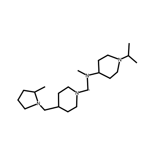 CC(C)N1CCC(N(C)[C]N2CCC(CN3CCCC3C)CC2)CC1